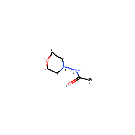 CC(C)C(=O)NN1CCOCC1